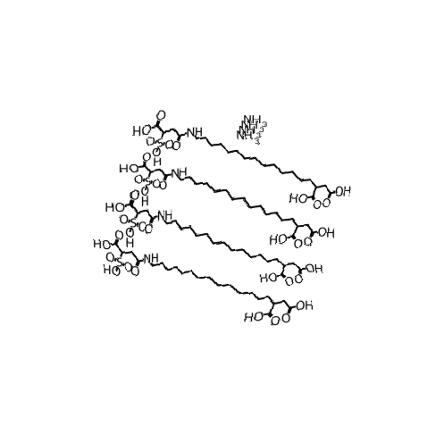 N.N.N.N.O=C(O)CC(CCCCCCCCCCCCCCNC(=O)CC(C(=O)O)S(=O)(=O)O)C(=O)O.O=C(O)CC(CCCCCCCCCCCCCCNC(=O)CC(C(=O)O)S(=O)(=O)O)C(=O)O.O=C(O)CC(CCCCCCCCCCCCCCNC(=O)CC(C(=O)O)S(=O)(=O)O)C(=O)O.O=C(O)CC(CCCCCCCCCCCCCCNC(=O)CC(C(=O)O)S(=O)(=O)O)C(=O)O